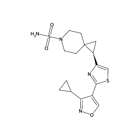 NS(=O)(=O)N1CCC2(CC1)C[C@H]2c1csc(-c2conc2C2CC2)n1